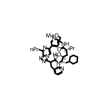 CCCc1nc(-c2cccnc2)cn2c(C(Cc3cccnc3)C(=O)N[C@@H](CC3CCCCC3)[C@@H](O)C[C@H](C(=O)NCCOC)C(C)C)nnc12